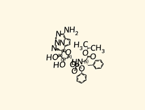 CC(C)OC(=O)[C@H](Cc1ccccc1)NP(=O)(OC[C@H]1O[C@@](C#N)(c2ccc3c(N)ncnn23)[C@H](O)[C@@H]1O)Oc1ccccc1